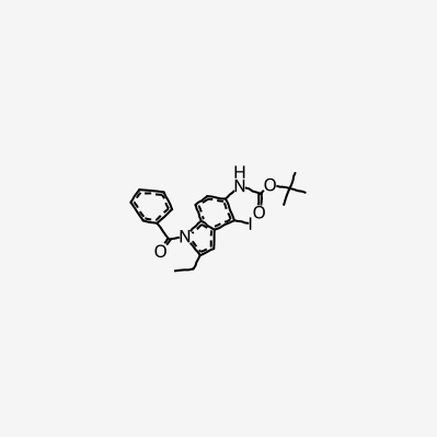 CCc1cc2c(I)c(NC(=O)OC(C)(C)C)ccc2n1C(=O)c1ccccc1